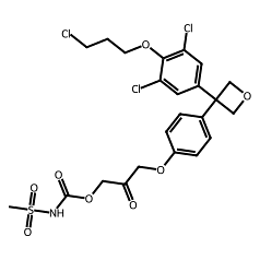 CS(=O)(=O)NC(=O)OCC(=O)COc1ccc(C2(c3cc(Cl)c(OCCCCl)c(Cl)c3)COC2)cc1